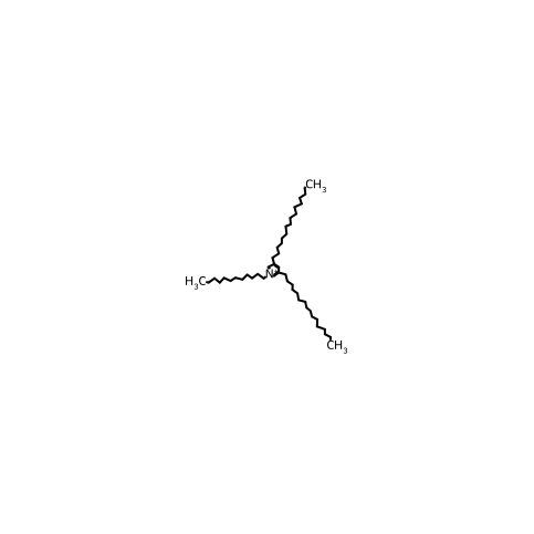 CCCCCCCCCCCCCCCCc1cc(CCCCCCCCCCCCCCCC)c[n+](CCCCCCCCCCCC)c1